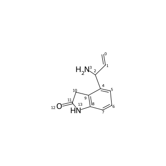 C=CC(N)c1cccc2c1CC(=O)N2